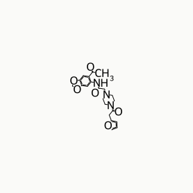 CC(=O)c1cc2c(cc1NC(=O)CN1CCN(C(=O)Cc3ccco3)CC1)OCO2